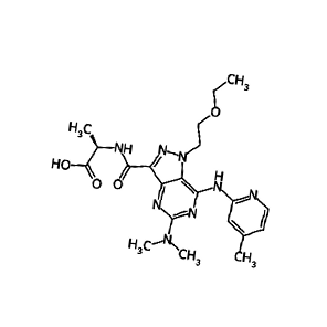 CCOCCn1nc(C(=O)N[C@H](C)C(=O)O)c2nc(N(C)C)nc(Nc3cc(C)ccn3)c21